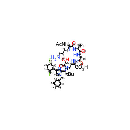 CC(=O)N[C@@H](CCCCN)C(=O)NC(C(=O)N[C@@H](C)C(=O)N[C@@H](CCN(C(=O)CO)[C@@H](c1nc(-c2cc(F)ccc2F)cn1Cc1ccccc1)C(C)(C)C)C(=O)O)C(C)C